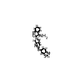 NC(C(=O)N1Cc2cn(Sc3ccc4ncsc4c3)nc2C1)c1ccccc1F